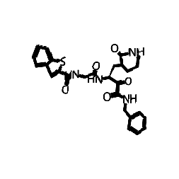 O=C(CNC(=O)c1cc2ccccc2s1)N[C@@H](CC1CCCNC1=O)C(=O)C(=O)NCc1ccccc1